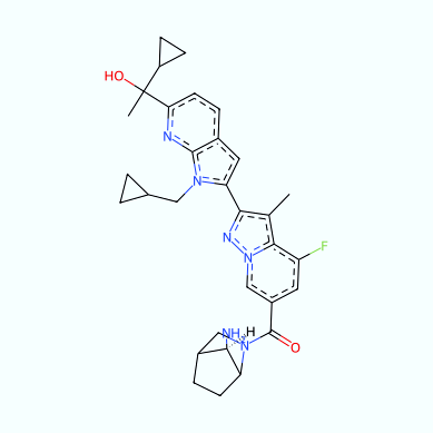 Cc1c(-c2cc3ccc(C(C)(O)C4CC4)nc3n2CC2CC2)nn2cc(C(=O)N3CC4CCC3[C@@H]4N)cc(F)c12